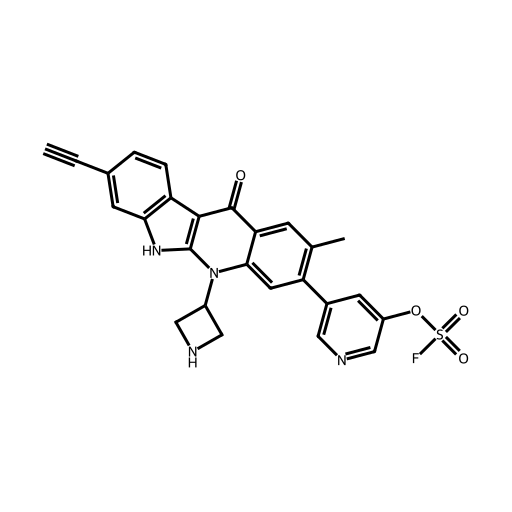 C#Cc1ccc2c(c1)[nH]c1c2c(=O)c2cc(C)c(-c3cncc(OS(=O)(=O)F)c3)cc2n1C1CNC1